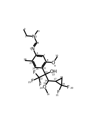 CCN(C)C=Nc1cc(OC)c(C(O)(C(OC)C2CC2(F)F)C(F)(F)F)cc1C